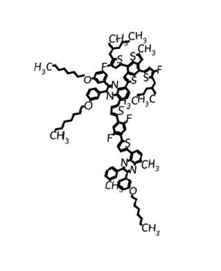 CCCCCCCCOc1cccc(-c2nc3c(C)ccc(-c4ccc(-c5cc(F)c(-c6ccc(-c7ccc(-c8cc9c(-c%10cc(F)c(CC(CC)CCCC)s%10)c%10sc(C)cc%10c(-c%10cc(F)c(CC(CC)CCCC)s%10)c9s8)c8nc(-c9cccc(OCCCCCCCC)c9)c(-c9cccc(OCCCCCCCC)c9)nc78)s6)cc5F)s4)c3nc2-c2cccc(C)c2)c1